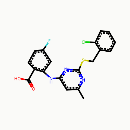 Cc1cc(Nc2cc(F)ccc2C(=O)O)nc(SCc2ccccc2Cl)n1